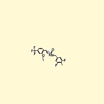 CCOc1cc(C(F)(F)F)ccc1/C=C/C(=O)NCc1cc(F)c(C)c(F)c1